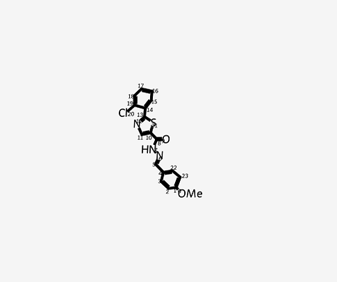 COc1ccc(/C=N/NC(=O)c2cnc(-c3ccccc3Cl)s2)cc1